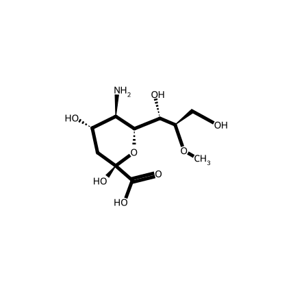 CO[C@H](CO)[C@@H](O)[C@@H]1O[C@](O)(C(=O)O)C[C@H](O)[C@H]1N